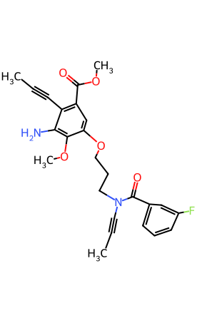 CC#Cc1c(C(=O)OC)cc(OCCCN(C#CC)C(=O)c2cccc(F)c2)c(OC)c1N